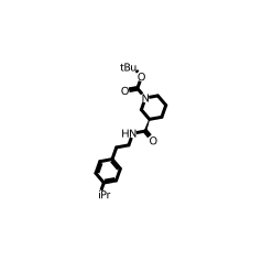 CC(C)c1ccc(CCNC(=O)[C@@H]2CCCN(C(=O)OC(C)(C)C)C2)cc1